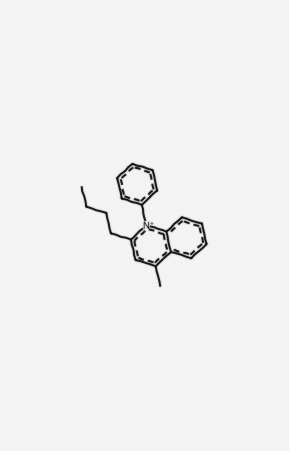 CCCCc1cc(C)c2ccccc2[n+]1-c1ccccc1